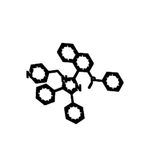 CP(c1ccccc1)c1ccc2ccccc2c1-c1nc(-c2ccccc2)c(-c2ccccc2)n1Cc1ccncc1